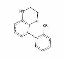 FC(F)(F)c1ccccc1-c1cccc2c1O[CH]CN2